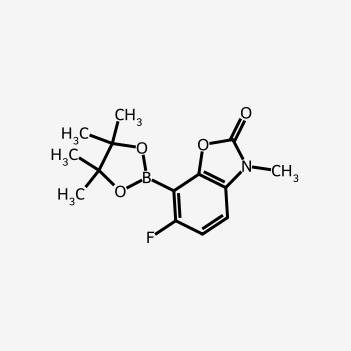 Cn1c(=O)oc2c(B3OC(C)(C)C(C)(C)O3)c(F)ccc21